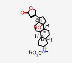 CN(C(=O)O)[C@H]1CC[C@@]2(C)[C@H](CC[C@@H]3[C@@H]2CC[C@]2(C)[C@@H](C4=CC(=O)OC4)CC[C@]32O)C1